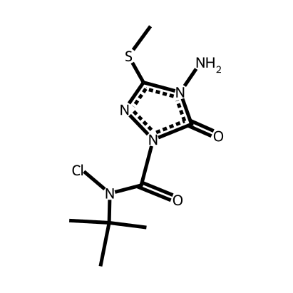 CSc1nn(C(=O)N(Cl)C(C)(C)C)c(=O)n1N